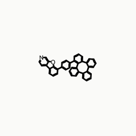 c1ccc2c(c1)-c1ccccc1-c1cccc(-c3ccc(-c4cccc5c4oc4cnccc45)cc3)c1-c1ccccc1-2